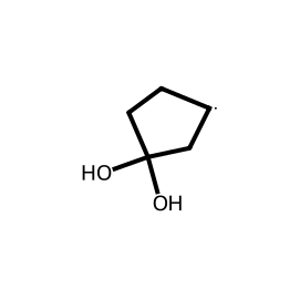 OC1(O)C[CH]CC1